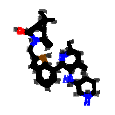 C=C1C2C(C(=O)N1Cc1cc3cccc(-c4nc(C)cc(C)c4NC4CCCNC4)c3s1)C2(C)C